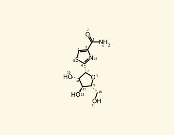 NC(=O)c1csc([C@@H]2O[C@H](CO)[C@@H](O)[C@@H]2O)n1